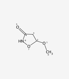 COC1CC(=O)NO1